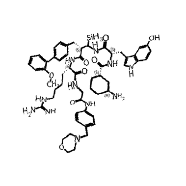 COc1ccccc1-c1ccc(C[C@@H](C(=O)N[C@@H](CCCCNC(=N)N)C(=O)NCC(=O)Nc2ccc(CN3CCOCC3)cc2)C([SiH3])NC(=O)[C@H](Cc2c[nH]c3ccc(O)cc23)NC(=O)[C@H]2CCC[C@H](N)C2)cc1